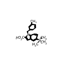 Cc1cccc(Cn2c(C(=O)O)cc3cc([Si](C)(C)C)ccc32)c1